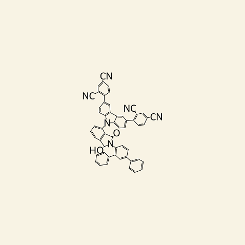 N#Cc1ccc(-c2ccc3c(c2)c2cc(-c4ccc(C#N)cc4C#N)ccc2n3-c2cccc3c2C(=O)N(c2ccc(-c4ccccc4)cc2-c2ccccc2)C3O)c(C#N)c1